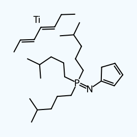 CC(C)CCCP(CCCC(C)C)(CCCC(C)C)=NC1=CC=CC1.CC=CC=CCC.[Ti]